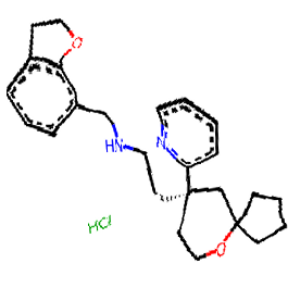 Cl.c1ccc([C@]2(CCNCc3cccc4c3OCC4)CCOC3(CCCC3)C2)nc1